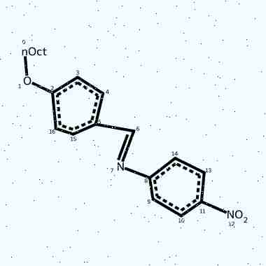 CCCCCCCCOc1ccc(C=Nc2ccc([N+](=O)[O-])cc2)cc1